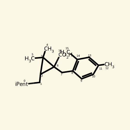 CCCC(C)CC1C(C)(C)C1(Cc1ccc(C)cc1C)C(=O)O